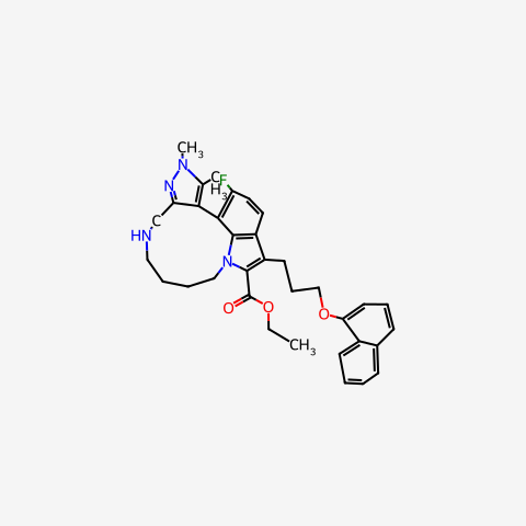 CCOC(=O)c1c(CCCOc2cccc3ccccc23)c2ccc(F)c3c2n1CCCCNCc1nn(C)c(C)c1-3